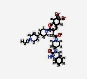 CN1CCC(C2CCN(C(=O)C(CC(=O)N3CCC(N4Cc5ccccc5NC4=O)CC3)Cc3ccc(Br)c(Br)c3)CC2)CC1